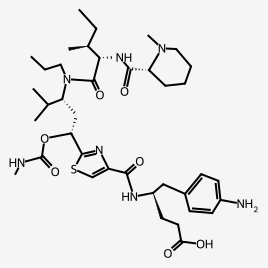 CCCN(C(=O)[C@@H](NC(=O)[C@H]1CCCCN1C)[C@@H](C)CC)[C@H](C[C@@H](OC(=O)NC)c1nc(C(=O)N[C@H](CCC(=O)O)Cc2ccc(N)cc2)cs1)C(C)C